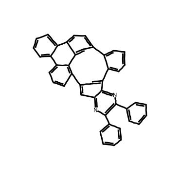 c1ccc(-c2nc3cc4cc(c5ccccc5c5ccc6c7ccccc7c7cccc4c7c6c5)c3nc2-c2ccccc2)cc1